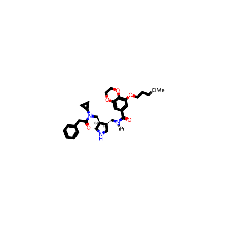 COCCCOc1cc(C(=O)N(C[C@@H]2CNC[C@H]2CN(C(=O)Cc2ccccc2)C2CC2)C(C)C)cc2c1OCCO2